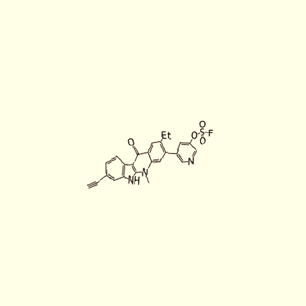 C#Cc1ccc2c(c1)[nH]c1c2c(=O)c2cc(CC)c(-c3cncc(OS(=O)(=O)F)c3)cc2n1C